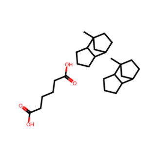 CC12CCC(C1)C1CCCC12.CC12CCC(C1)C1CCCC12.O=C(O)CCCCC(=O)O